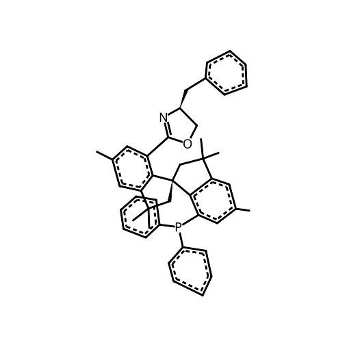 Cc1cc(C2=N[C@@H](Cc3ccccc3)CO2)c2c(c1)C(C)(C)C[C@]21CC(C)(C)c2cc(C)cc(P(c3ccccc3)c3ccccc3)c21